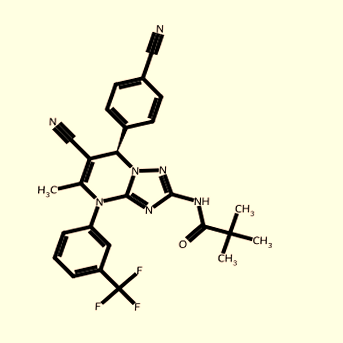 CC1=C(C#N)[C@@H](c2ccc(C#N)cc2)n2nc(NC(=O)C(C)(C)C)nc2N1c1cccc(C(F)(F)F)c1